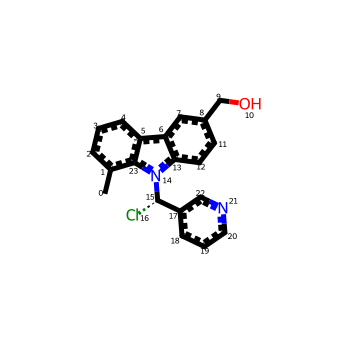 Cc1cccc2c3cc(CO)ccc3n([C@@H](Cl)c3cccnc3)c12